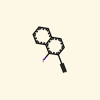 [C]#Cc1ccc2ccccc2c1I